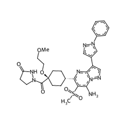 COCCO[C@]1(C(=O)N2CCC(=O)N2)CC[C@@H](c2nc3c(-c4cnn(-c5ccccc5)c4)cnn3c(N)c2S(C)(=O)=O)CC1